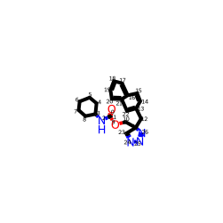 O=C(NC1CCCCC1)OCC1(Cc2ccc3ccccc3c2)C=NN=N1